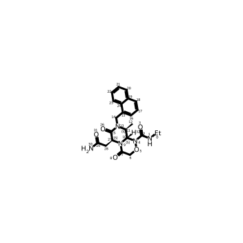 CCNC(=O)N1OCC(=O)N2[C@@H]1[C@H](C)N(Cc1cccc3ccccc13)C(=O)[C@@H]2CC(N)=O